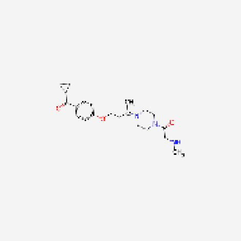 CNCC(=O)N1CCN([C@H](C)CCOc2ccc(C(=O)C3CC3)cc2)CC1